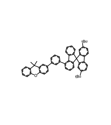 CC(C)(C)c1ccc2c(c1)C1(c3cc(C(C)(C)C)ccc3-2)c2ccccc2-c2c(-c3cccc(-c4ccc5c(c4)C(C)(C)c4ccccc4O5)c3)cccc21